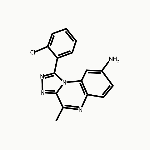 Cc1nc2ccc(N)cc2n2c(-c3ccccc3Cl)nnc12